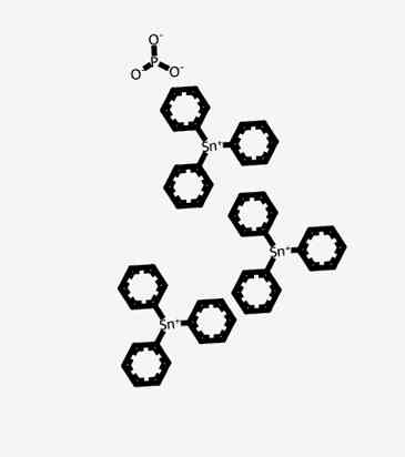 [O-]P([O-])[O-].c1cc[c]([Sn+]([c]2ccccc2)[c]2ccccc2)cc1.c1cc[c]([Sn+]([c]2ccccc2)[c]2ccccc2)cc1.c1cc[c]([Sn+]([c]2ccccc2)[c]2ccccc2)cc1